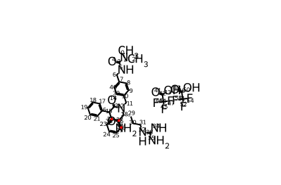 CN(C)C(=O)NCc1ccc(CN(C(=O)C(c2ccccc2)c2ccccc2)[C@H](CCCNC(=N)N)C(N)=O)cc1.O=C(O)C(F)(F)F.O=C(O)C(F)(F)F